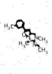 CC/N=C(/SC)N(C)Cc1cc(-c2cccc(C)c2)on1